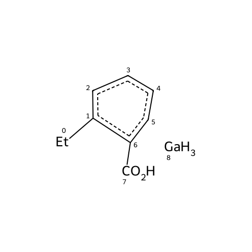 CCc1ccccc1C(=O)O.[GaH3]